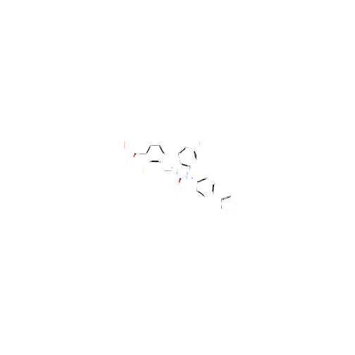 O=C(O)c1cccc(Cn2c(=O)n(-c3ccc(C4=CCOC4)cc3)c3cc(Cl)ccc32)c1F